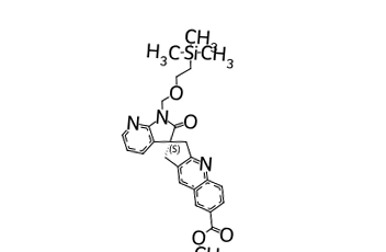 COC(=O)c1ccc2nc3c(cc2c1)C[C@@]1(C3)C(=O)N(COCC[Si](C)(C)C)c2ncccc21